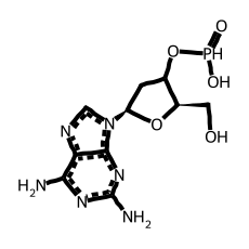 Nc1nc(N)c2ncn([C@H]3CC(O[PH](=O)O)[C@@H](CO)O3)c2n1